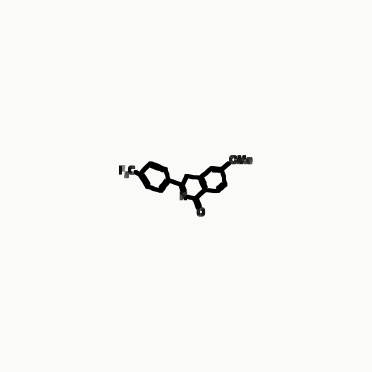 COc1ccc2c(c1)CC(c1ccc(C(F)(F)F)cc1)=NC2=O